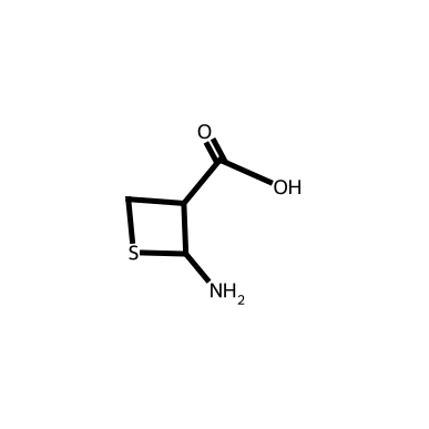 NC1SCC1C(=O)O